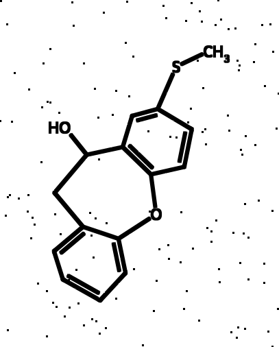 CSc1ccc2c(c1)C(O)Cc1ccccc1O2